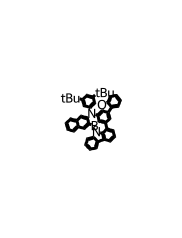 CC(C)(C)c1cc(N2c3cc4ccccc4cc3B3c4c(cc5c(oc6ccccc65)c42)-c2cccc4c5ccccc5n3c24)cc(C(C)(C)C)c1